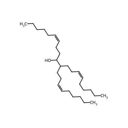 CCCCC/C=C\CCC(O)C(CC/C=C\CCCCC)CC/C=C\CCCCC